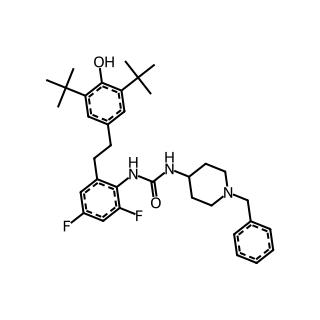 CC(C)(C)c1cc(CCc2cc(F)cc(F)c2NC(=O)NC2CCN(Cc3ccccc3)CC2)cc(C(C)(C)C)c1O